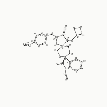 C=CCN(C)[C@]1(c2ccccc2)CC[C@@]2(CC1)CN(Cc1ccc(OC)cc1)C(=O)N2CC1CCC1